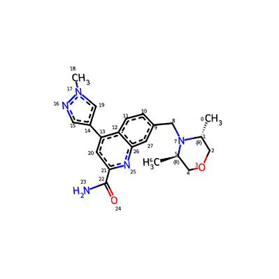 C[C@@H]1COC[C@@H](C)N1Cc1ccc2c(-c3cnn(C)c3)cc(C(N)=O)nc2c1